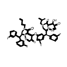 CCCCN1CC(C(c2cccc(F)c2)c2cccc(F)c2)n2ncc(=O)c(Oc3cc(F)cc(C(c4cccc(F)c4)C4CN(CC(C)C)C(=O)c5c(O)c(=O)cnn54)c3)c2C1=O